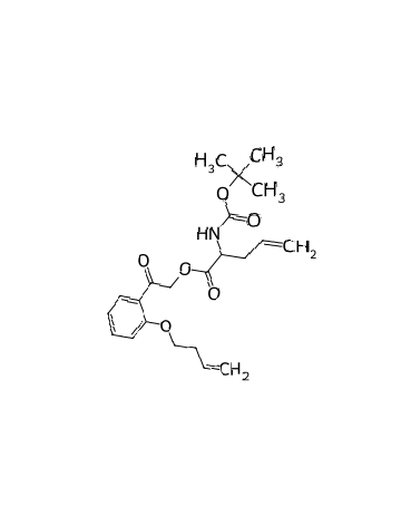 C=CCCOc1ccccc1C(=O)COC(=O)C(CC=C)NC(=O)OC(C)(C)C